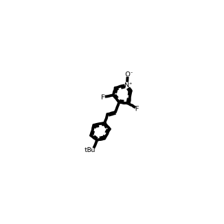 CC(C)(C)c1ccc(C=Cc2c(F)c[n+]([O-])cc2F)cc1